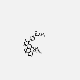 C=CC(=O)N1CCN(c2ncnc3c(=O)n(-c4c(F)cccc4OC)c(C)cc23)CC1